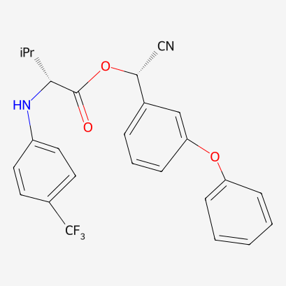 CC(C)[C@@H](Nc1ccc(C(F)(F)F)cc1)C(=O)O[C@H](C#N)c1cccc(Oc2ccccc2)c1